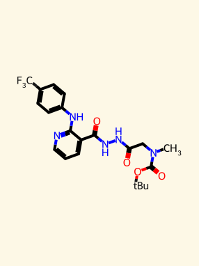 CN(CC(=O)NNC(=O)c1cccnc1Nc1ccc(C(F)(F)F)cc1)C(=O)OC(C)(C)C